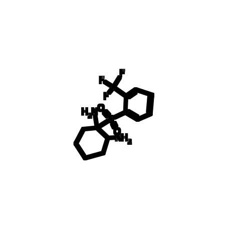 NC1CCCCC1(N)S(=O)(=O)c1ccccc1C(F)(F)F